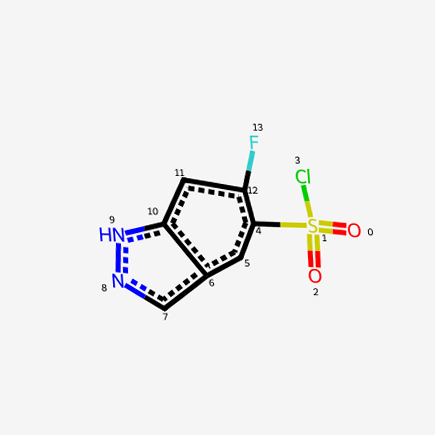 O=S(=O)(Cl)c1cc2cn[nH]c2cc1F